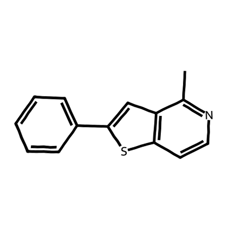 Cc1nccc2sc(-c3ccccc3)cc12